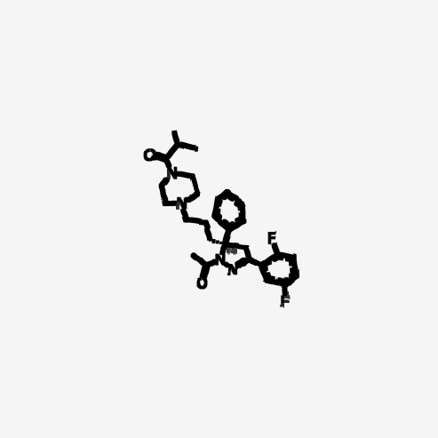 CC(=O)N1N=C(c2cc(F)ccc2F)C[C@]1(CCCN1CCN(C(=O)C(C)C)CC1)c1ccccc1